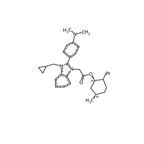 CC(C)C1CC[C@@H](C)C[C@H]1OC(=O)Cn1c(-c2ccc(N(C)C)cc2)[n+](CC2CC2)c2ccccc21